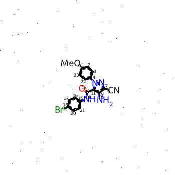 COc1ccc(-n2nc(C#N)c(N)c2C(=O)Nc2ccc(Br)cc2)cc1